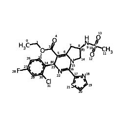 CCOC(=O)C1=C2C[C@@H](NS(C)(=O)=O)CN2C(c2nccs2)=N[C@H]1c1ccc(F)cc1Cl